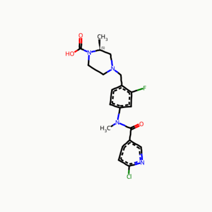 C[C@H]1CN(Cc2ccc(N(C)C(=O)c3ccc(Cl)nc3)cc2F)CCN1C(=O)O